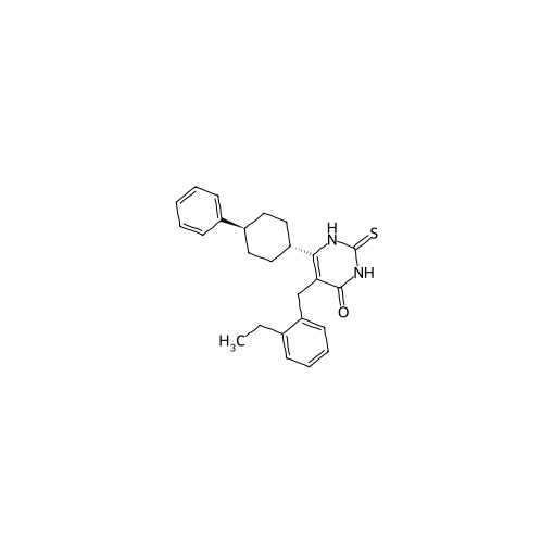 CCc1ccccc1Cc1c(=O)[nH]c(=S)[nH]c1[C@H]1CC[C@H](c2ccccc2)CC1